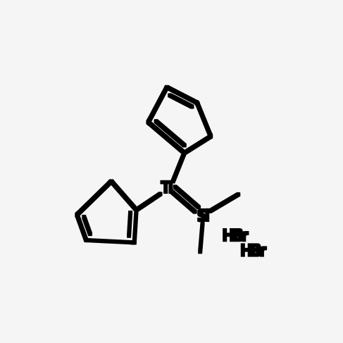 Br.Br.C[Si](C)=[Ti]([C]1=CC=CC1)[C]1=CC=CC1